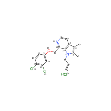 C=CCn1c(C)c(C)c2ccnc(COc3ccc(Cl)c(Cl)c3)c21.Cl